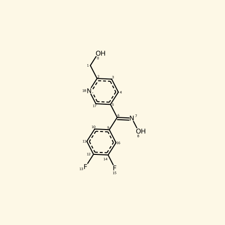 OCc1ccc(C(=NO)c2ccc(F)c(F)c2)cn1